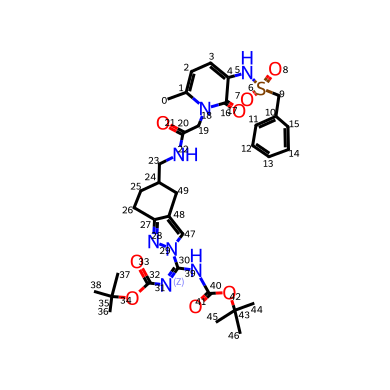 Cc1ccc(NS(=O)(=O)Cc2ccccc2)c(=O)n1CC(=O)NCC1CCc2nn(/C(=N\C(=O)OC(C)(C)C)NC(=O)OC(C)(C)C)cc2C1